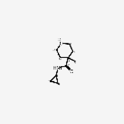 CC1(C(=O)NC2CC2)CCOCC1